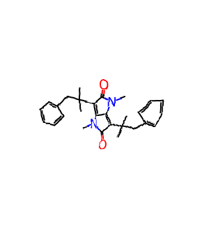 CN1C(=O)C(C(C)(C)Cc2ccccc2)=C2C1=C(C(C)(C)Cc1ccccc1)C(=O)N2C